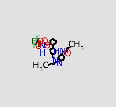 CCCCc1nc2ccc(NC(=O)CCC)cc2n1Cc1ccc(-c2ccccc2OC(=O)NS(=O)(=O)C(F)(F)F)cc1